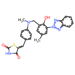 Cc1cc(CN(C)c2ccc(/C=C3\SC(=O)NC3=O)cc2)c(O)c(-n2nc3ccccc3n2)c1